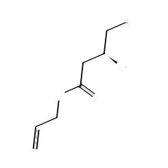 C=CCOC(=O)C[C@H](O)CI